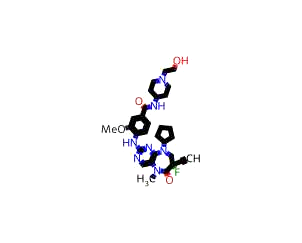 C#CC1(F)CN(C2CCCC2)c2nc(Nc3ccc(C(=O)NC4CCN(CCO)CC4)cc3OC)ncc2N(C)C1=O